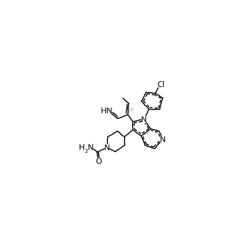 C/C=C(\C=N)c1c(C2CCN(C(N)=O)CC2)c2ccncc2n1-c1ccc(Cl)cc1